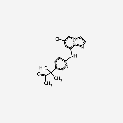 CC(=O)C(C)(C)c1ccc(Nc2cc(Cl)cn3ccnc23)nc1